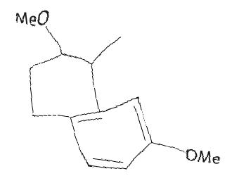 COc1ccc2c(c1)C(C)C(OC)CC2